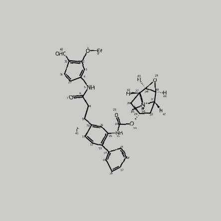 CCOc1cc(NC(=O)CCc2ccc(-c3ccccc3)c(NC(=O)O[C@@H]3C[C@@H]4[C@H]5O[C@H]5[C@H](C3)[N+]4(C)C)c2)ccc1C=O.[I-]